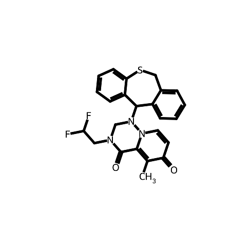 Cc1c2n(ccc1=O)N(C1c3ccccc3CSc3ccccc31)CN(CC(F)F)C2=O